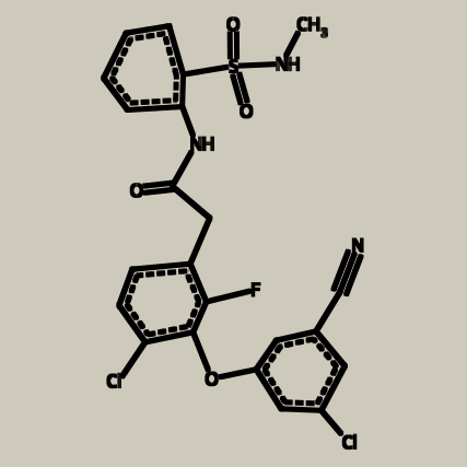 CNS(=O)(=O)c1ccccc1NC(=O)Cc1ccc(Cl)c(Oc2cc(Cl)cc(C#N)c2)c1F